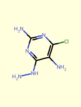 NNc1nc(N)nc(Cl)c1N